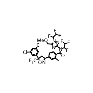 COCc1nc(N(C(=O)c2ccc(C3=NOC(c4cc(Cl)cc(Cl)c4)(C(F)(F)F)C3)cc2C)C(F)C(F)F)nn1C(F)C(F)F